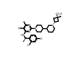 Cc1nc(N2CCC(C3CCCN([C@H]4C[C@](C)(C(=O)O)C4)C3)CC2)nc(N[C@H](C)c2ccc(Cl)cc2Cl)c1Cl